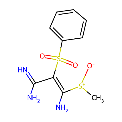 C[S+]([O-])/C(N)=C(/C(=N)N)S(=O)(=O)c1ccccc1